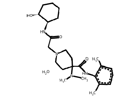 Cc1cccc(C)c1NC(=O)C1(N(C)C)CCN(CC(=O)N[C@@H]2CCCC[C@H]2O)CC1.O